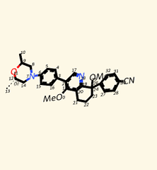 COc1c(-c2ccc(N3CC(C)O[C@@H](C)C3)cc2)cnc2c1CCCC2(OC)c1ccc(C#N)cc1